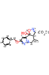 CCOC(=O)C1=NOC2(O)c3cc(OCc4ccccc4)nn3CC(C)C12